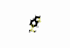 C[SH](C)c1ccc2ccsc2c1